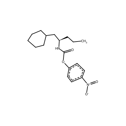 CCC[C@H](CC1CCCCC1)NC(=O)Oc1ccc([N+](=O)[O-])cc1